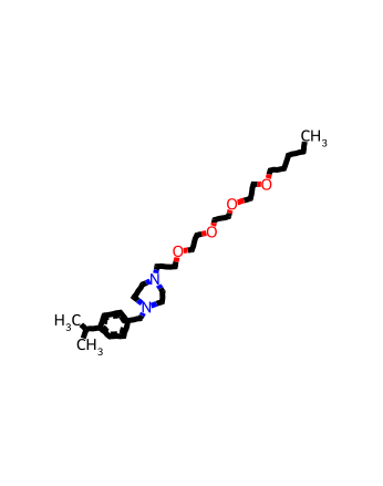 CCCCCOCCOCCOCCOCCN1CCN(Cc2ccc(C(C)C)cc2)CC1